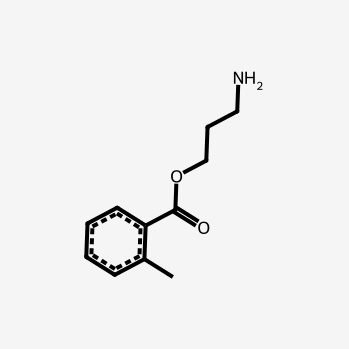 Cc1ccccc1C(=O)OCCCN